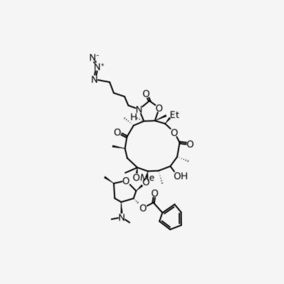 CC[C@H]1OC(=O)[C@H](C)C(O)[C@H](C)[C@@H](O[C@@H]2O[C@H](C)C[C@H](N(C)C)[C@H]2OC(=O)c2ccccc2)[C@@](C)(OC)C[C@@H](C)C(=O)[C@H](C)[C@H]2N(CCCCN=[N+]=[N-])C(=O)O[C@]12C